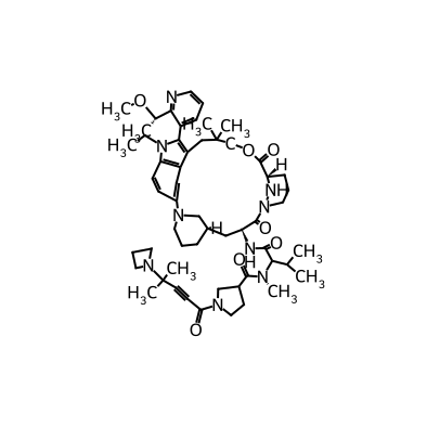 CCn1c(-c2cccnc2[C@H](C)OC)c2c3cc(ccc31)N1CCC[C@@H](C[C@H](NC(=O)C(C(C)C)N(C)C(=O)C3CCN(C(=O)C#CC(C)(C)N4CCC4)C3)C(=O)N3CCC[C@H](N3)C(=O)OCC(C)(C)C2)C1